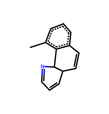 Cc1cccc2c1C1N=CC=CC1C=C2